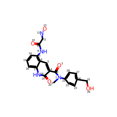 CN(C(=O)c1cc2c(NC(=O)CN=O)cccc2[nH]c1=O)c1ccc(CO)cc1